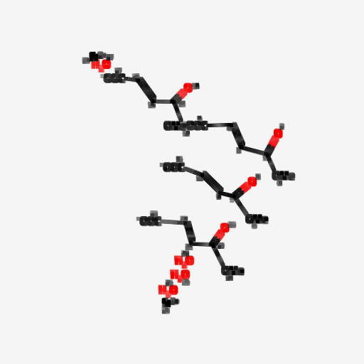 COC(=O)/C=C/C(=O)[O-].COC(=O)/C=C/C(=O)[O-].COC(=O)/C=C/C(=O)[O-].COC(=O)/C=C/C(=O)[O-].O.O.O.O.[Sr+2].[Sr+2]